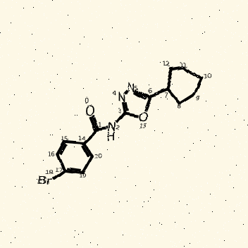 O=C(Nc1nnc(C2CCCCC2)o1)c1ccc(Br)cc1